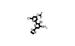 Nc1cc(-c2nccs2)nc(-c2cc(OC(F)F)cc(Cl)n2)c1Br